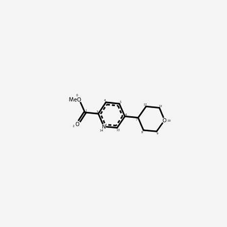 COC(=O)c1ccc(C2CCOCC2)cn1